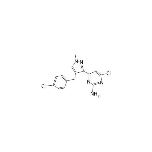 Cn1cc(Cc2ccc(Cl)cc2)c(-c2cc(Cl)nc(N)n2)n1